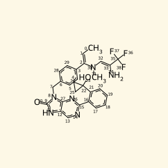 C/C=C(/c1ccc(Cn2c(=O)[nH]c3cnc(-c4ccccc4C4(O)CC4)nc32)cc1)N(C)/C=C(\N)C(F)(F)F